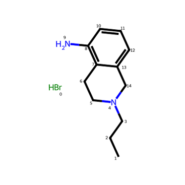 Br.CCCN1CCc2c(N)cccc2C1